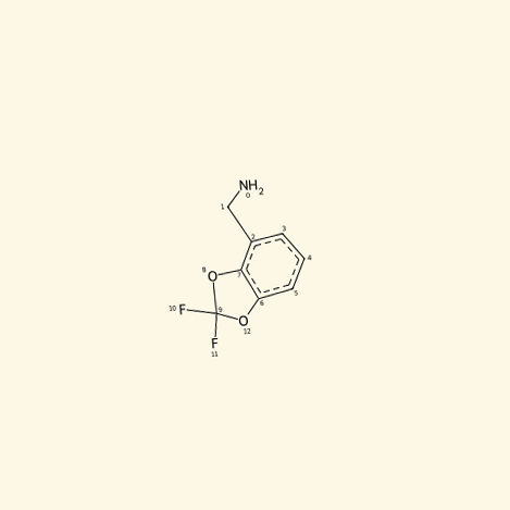 NCc1cccc2c1OC(F)(F)O2